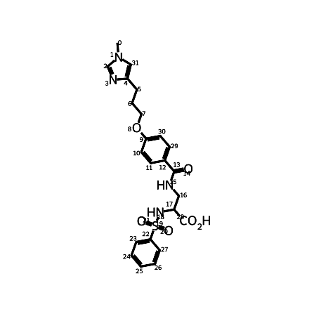 Cn1cnc(CCCOc2ccc(C(=O)NCC(NS(=O)(=O)c3ccccc3)C(=O)O)cc2)c1